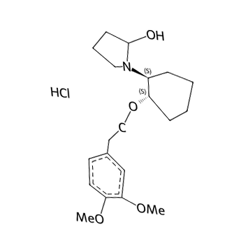 COc1ccc(CCO[C@H]2CCCC[C@@H]2N2CCCC2O)cc1OC.Cl